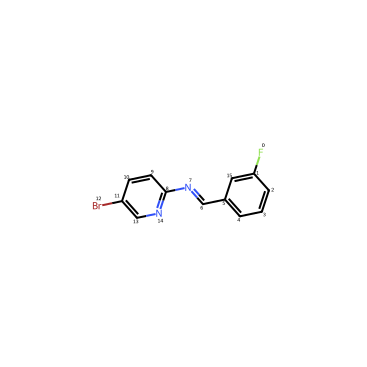 Fc1cccc(/C=N/c2ccc(Br)cn2)c1